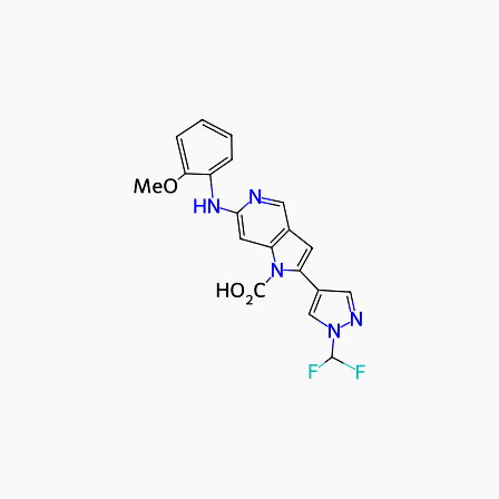 COc1ccccc1Nc1cc2c(cn1)cc(-c1cnn(C(F)F)c1)n2C(=O)O